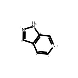 [c]1cc2cn[nH]c2cn1